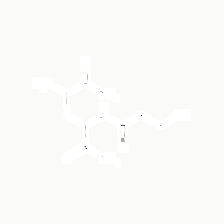 CC(CC(NC(=O)[CH]CO)C(N)=O)C(N)=O